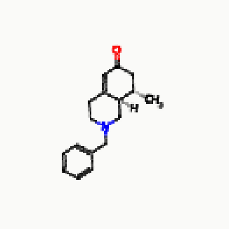 C[C@H]1CC(=O)C=C2CCN(Cc3ccccc3)C[C@@H]21